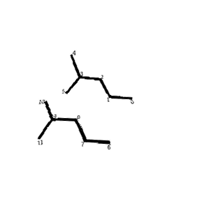 CCCC(C)C.CCCC(C)C